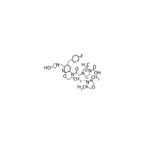 CC1COc2nc(CN3CC(O)C3)c(Cc3ccc(F)cc3)cc2N1C(=O)CN1C[C@@H](C)N(C(=O)O)C[C@@H]1CN1[C@H](C)COC[C@H]1C